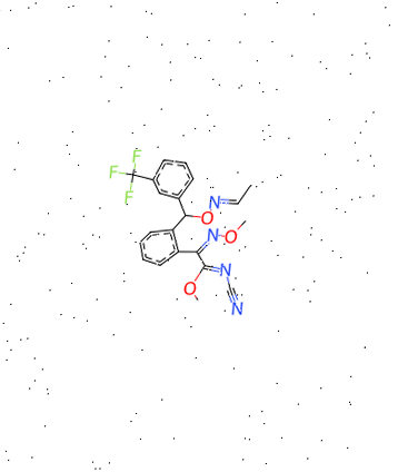 CC=NOC(c1cccc(C(F)(F)F)c1)c1ccccc1C(=NOC)C(=NC#N)OC